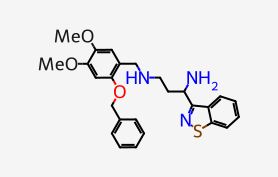 COc1cc(CNCCC(N)c2nsc3ccccc23)c(OCc2ccccc2)cc1OC